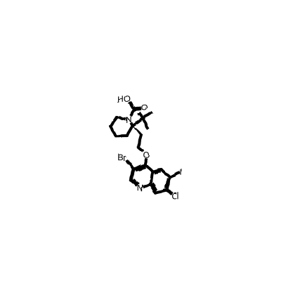 CC(C)(C)[C@]1(CCOc2c(Br)cnc3cc(Cl)c(I)cc23)CCCCN1C(=O)O